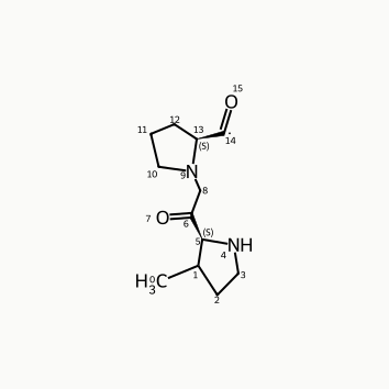 CC1CCN[C@@H]1C(=O)CN1CCC[C@H]1[C]=O